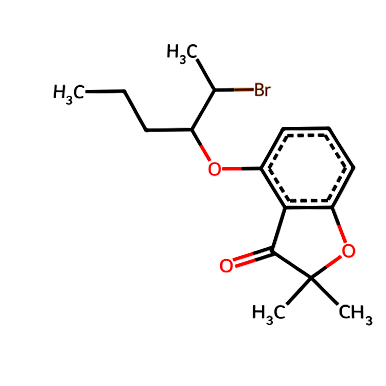 CCCC(Oc1cccc2c1C(=O)C(C)(C)O2)C(C)Br